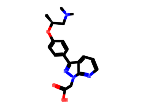 C[C@@H](CN(C)C)Oc1ccc(-c2nn(CC(=O)O)c3ncccc23)cc1